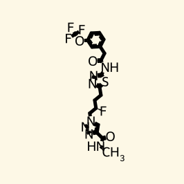 CNC(=O)c1cn(C[C@@H](F)CCc2nnc(NC(=O)Cc3cccc(OC(F)(F)F)c3)s2)nn1